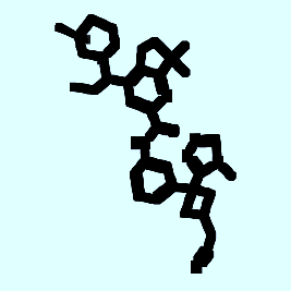 CCC(c1cc(C(=O)Nc2cccc(C3(c4nncn4C)CC(CC#N)C3)c2)nc2c1CCC2(C)C)N1CCC[C@H](C)C1